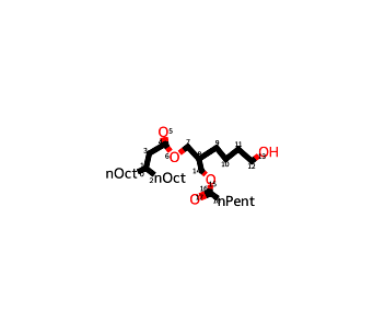 CCCCCCCCC(CCCCCCCC)CC(=O)OCC(CCCCO)COC(=O)CCCCC